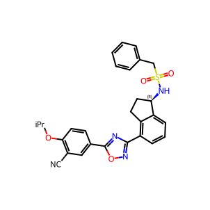 CC(C)Oc1ccc(-c2nc(-c3cccc4c3CC[C@H]4NS(=O)(=O)Cc3ccccc3)no2)cc1C#N